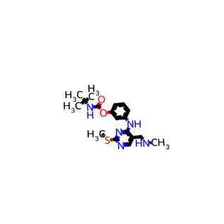 CNCc1cnc(SC)nc1Nc1cccc(OC(=O)NC(C)(C)C)c1